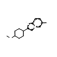 COC1CCC(c2cn3cc(Cl)ccc3n2)CC1